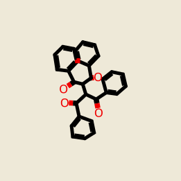 O=C(c1ccccc1)C(C(=O)c1ccccc1)C(C(=O)c1ccccc1)C(=O)c1ccccc1